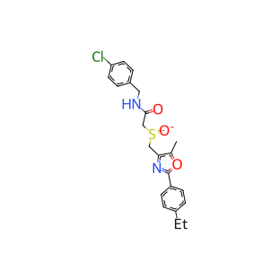 CCc1ccc(-c2nc(C[S+]([O-])CC(=O)NCc3ccc(Cl)cc3)c(C)o2)cc1